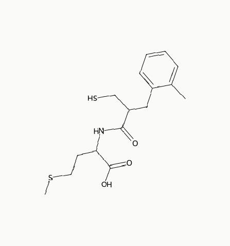 CSCCC(NC(=O)C(CS)Cc1ccccc1C)C(=O)O